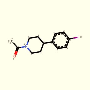 O=C(N1CCC(c2ccc(I)cc2)CC1)C(F)(F)F